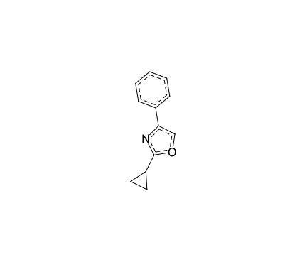 c1ccc(-c2coc(C3CC3)n2)cc1